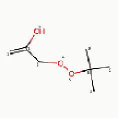 C=C(O)COOC(C)(C)C